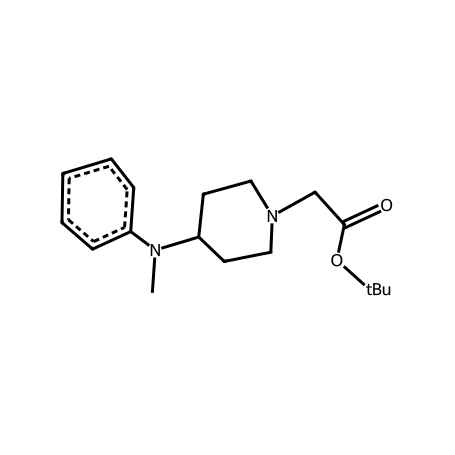 CN(c1ccccc1)C1CCN(CC(=O)OC(C)(C)C)CC1